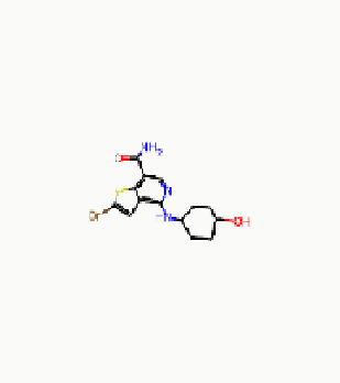 NC(=O)c1cnc(NC2CCC(O)CC2)c2cc(Br)sc12